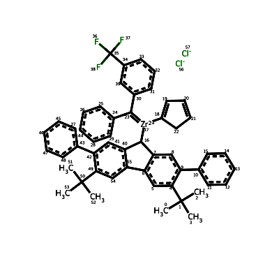 CC(C)(C)c1cc2c(cc1-c1ccccc1)[CH](/[Zr+2]([C]1=CC=CC1)=[C](\c1ccccc1)c1cccc(C(F)(F)F)c1)c1cc(-c3ccccc3)c(C(C)(C)C)cc1-2.[Cl-].[Cl-]